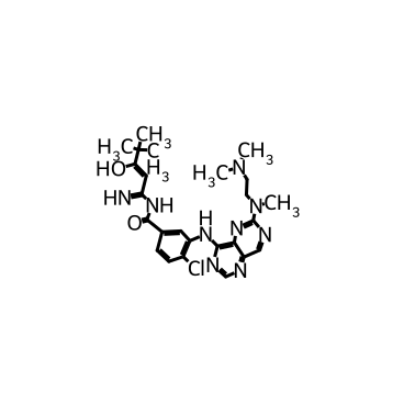 CN(C)CCN(C)c1ncc2ncnc(Nc3cc(C(=O)NC(=N)/C=C(\O)C(C)(C)C)ccc3Cl)c2n1